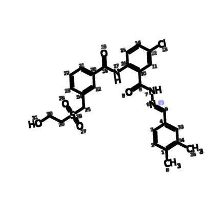 Cc1ccc(/C=N/NC(=O)c2cc(Cl)ccc2NC(=O)c2cccc(CS(=O)(=O)CCO)c2)cc1C